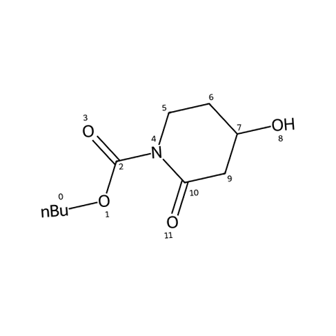 CCCCOC(=O)N1CCC(O)CC1=O